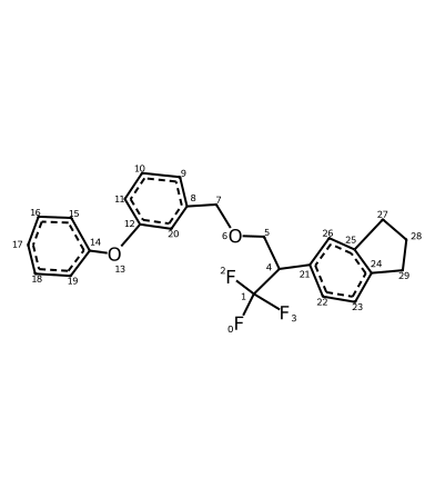 FC(F)(F)C(COCc1cccc(Oc2ccccc2)c1)c1ccc2c(c1)CCC2